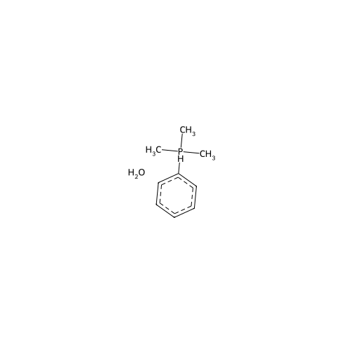 C[PH](C)(C)c1ccccc1.O